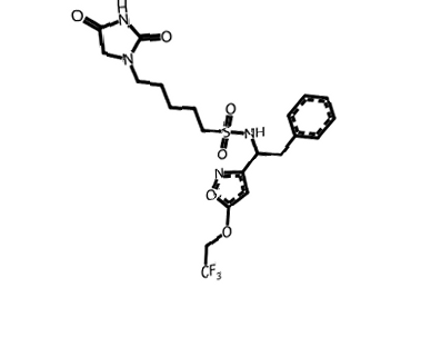 O=C1CN(CCCCCS(=O)(=O)NC(Cc2ccccc2)c2cc(OCC(F)(F)F)on2)C(=O)N1